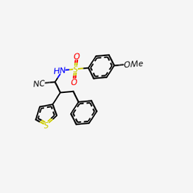 COc1ccc(S(=O)(=O)NC(C#N)C(Cc2ccccc2)c2ccsc2)cc1